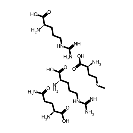 CSCC[C@H](N)C(=O)O.N=C(N)NCCC[C@H](N)C(=O)O.N=C(N)NCCC[C@H](N)C(=O)O.NC(=O)CC[C@H](N)C(=O)O